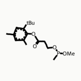 COP(C)OCCC(=O)Oc1c(C)cc(C)cc1C(C)(C)C